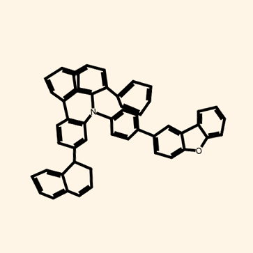 C1=Cc2ccccc2C(c2ccc(-c3ccccc3)c(N(c3ccc(-c4ccc5oc6ccccc6c5c4)cc3)c3ccccc3-c3ccccc3)c2)C1